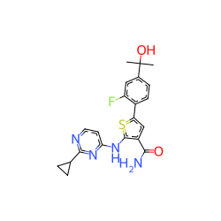 CC(C)(O)c1ccc(-c2cc(C(N)=O)c(Nc3ccnc(C4CC4)n3)s2)c(F)c1